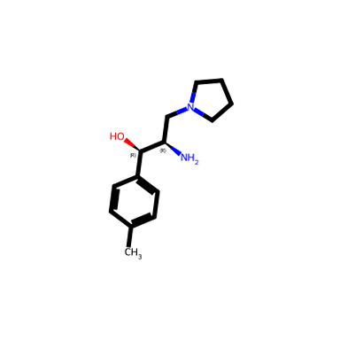 Cc1ccc([C@@H](O)[C@H](N)CN2CCCC2)cc1